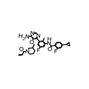 C=CC(=O)N1CCCC(COc2c(N)ncnc2-c2cc(F)cc(NC(=O)c3ccc(C4CC4)cc3F)c2C)C1